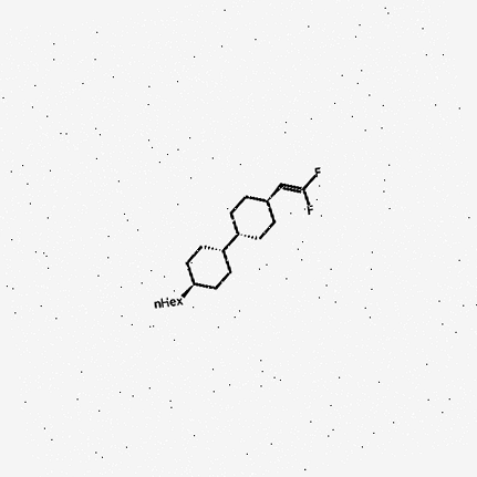 CCCCCC[C@H]1CC[C@H]([C@H]2CC[C@H](C=C(F)F)CC2)CC1